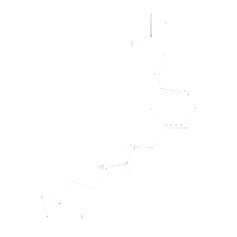 O=C(NCCC1(C(F)(F)F)CC1)NCc1ccnc(OCC2(F)CC2)c1